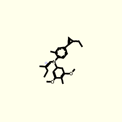 CC/C(C)=C\N(c1ccc(C2=CC2CC)cc1C)C1C=C(OC)C(C)=C(OC)C1